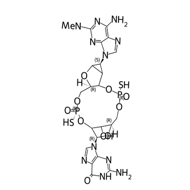 CNc1nc(N)c2ncn([C@@H]3C4O[C@@H]5CO[P@@](=O)(S)OC6C(O)[C@@H](CO[P@@](=O)(S)OC5C43)O[C@H]6n3cnc4c(=O)[nH]c(N)nc43)c2n1